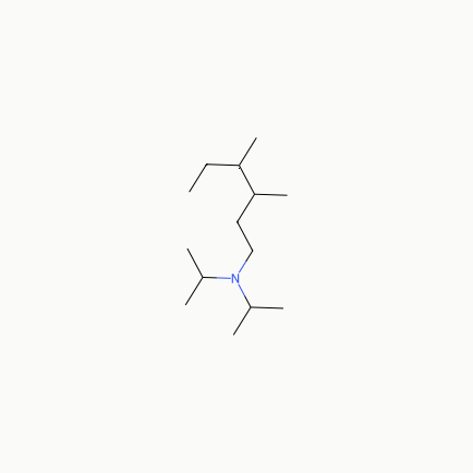 CC[C](C)C(C)CCN(C(C)C)C(C)C